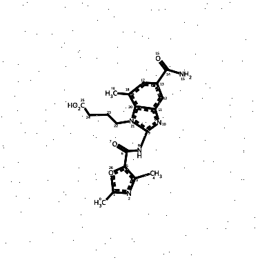 Cc1nc(C)c(C(=O)Nc2nc3cc(C(N)=O)cc(C)c3n2CCCC(=O)O)o1